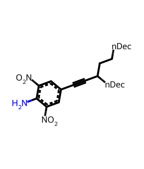 CCCCCCCCCCCCC(C#Cc1cc([N+](=O)[O-])c(N)c([N+](=O)[O-])c1)CCCCCCCCCC